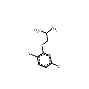 CC(C)COc1nc(Cl)ccc1Br